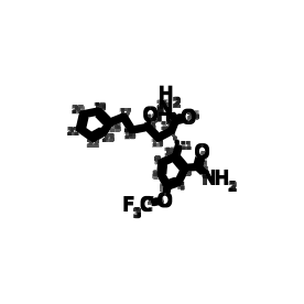 NC(=O)c1cc(OC(F)(F)F)ccc1C[C@H](C[C@@H](O)[CH]Cc1ccccc1)C(N)=O